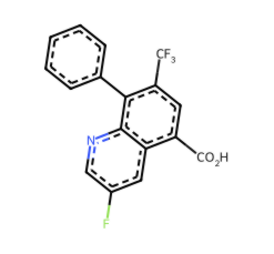 O=C(O)c1cc(C(F)(F)F)c(-c2ccccc2)c2ncc(F)cc12